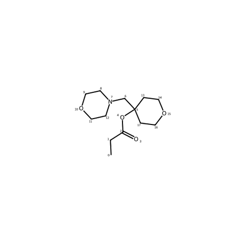 CCC(=O)OC1(CN2CCOCC2)CCOCC1